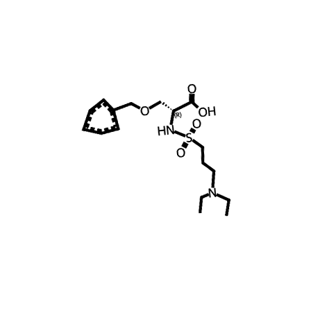 CCN(CC)CCCS(=O)(=O)N[C@H](COCc1ccccc1)C(=O)O